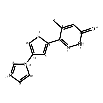 Cc1cc(=O)[nH]nc1-c1cc(-n2ccnc2)cs1